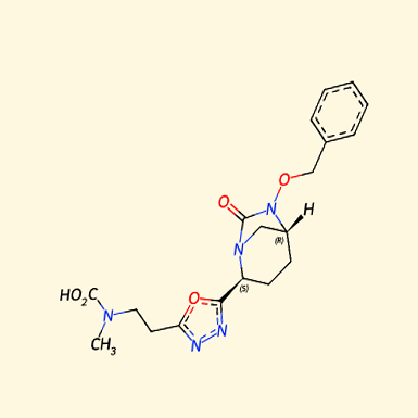 CN(CCc1nnc([C@@H]2CC[C@@H]3CN2C(=O)N3OCc2ccccc2)o1)C(=O)O